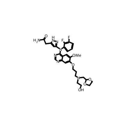 COc1cc2c(N(c3cc(CC(N)=O)[nH]n3)c3cccc(F)c3F)ncnc2cc1OCCCN(CCO)CC1OCCO1